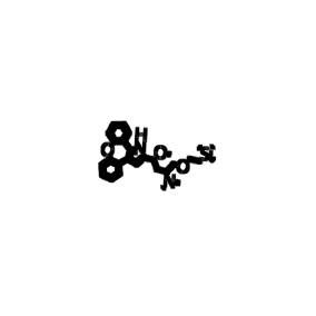 COC(CC(COCC[Si](C)(C)C)N(C)C)c1cc2c([nH]1)-c1ccccc1Oc1ccccc1-2